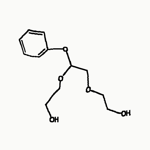 OCCOCC(OCCO)Oc1ccccc1